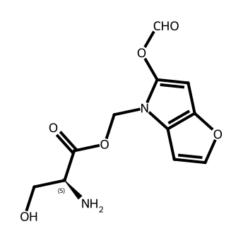 N[C@@H](CO)C(=O)OCn1c(OC=O)cc2occc21